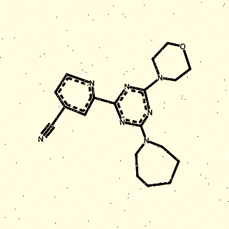 N#Cc1ccnc(-c2nc(N3CCCCCC3)nc(N3CCOCC3)n2)c1